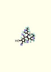 C#Cc1c(F)c(/C(C#N)=C2\C(=C(C#N)c3c(F)c(F)nc(C(F)(F)F)c3F)\C2=C(/C)c2c(F)c(F)nc(C(F)(F)F)c2F)c(F)c(F)c1C#N